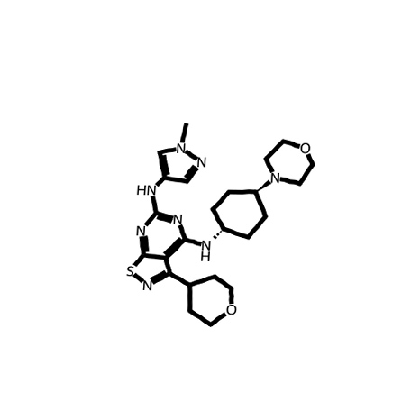 Cn1cc(Nc2nc(N[C@H]3CC[C@H](N4CCOCC4)CC3)c3c(C4CCOCC4)nsc3n2)cn1